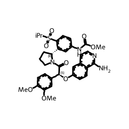 COC(=O)Nc1ccc(S(=O)(=O)C(C)C)c([C@H]2CCCN2C(=O)[C@@H](Oc2ccc3c(N)nccc3c2)c2ccc(OC)c(OC)c2)c1